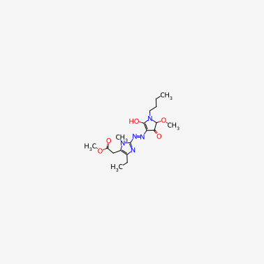 CCCCN1C(O)=C(N=Nc2nc(CC)c(CC(=O)OC)n2C)C(=O)C1OC